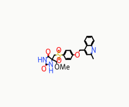 COCC1(CS(=O)(=O)c2ccc(OCc3cc(C)nc4ccccc34)cc2)NC(=O)NC1=O